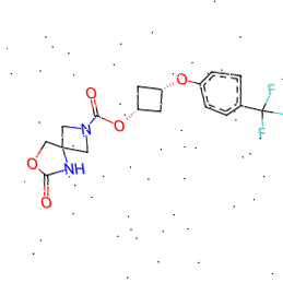 O=C1NC2(CO1)CN(C(=O)O[C@H]1C[C@@H](Oc3ccc(C(F)(F)F)cc3)C1)C2